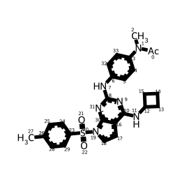 CC(=O)N(C)c1ccc(Nc2nc(NC3CCC3)c3ccn(S(=O)(=O)c4ccc(C)cc4)c3n2)cc1